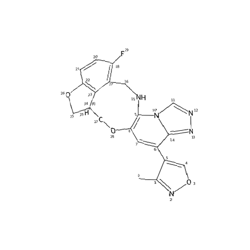 Cc1nocc1-c1cc2c(n3cnnc13)NCc1c(F)ccc3c1[C@H](CO3)CO2